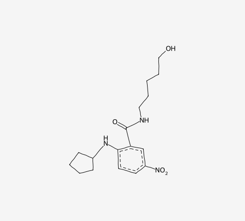 O=C(NCCCCCO)c1cc([N+](=O)[O-])ccc1NC1CCCC1